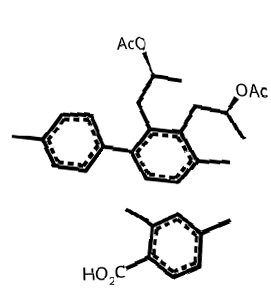 CC(=O)O[C@@H](C)Cc1c(C)ccc(-c2ccc(C)cc2)c1C[C@H](C)OC(C)=O.Cc1ccc(C(=O)O)c(C)c1